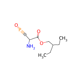 CCC(CC)COC(=O)C(N)C#P=O